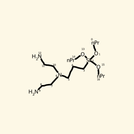 CCCO[Si](CCCN(CCN)CCN)(OCCC)OCCC